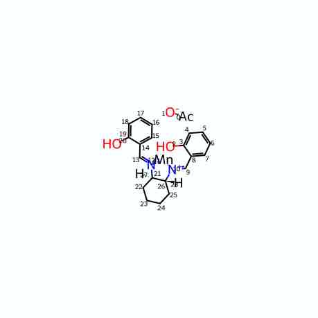 CC(=O)[O-].Oc1ccccc1C=[N+]1[Mn][N+](=Cc2ccccc2O)[C@@H]2CCCC[C@H]21